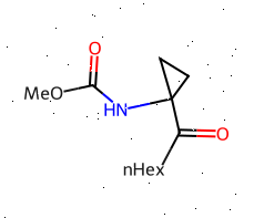 CCCCCCC(=O)C1(NC(=O)OC)CC1